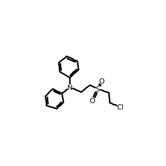 O=S(=O)(CCCl)CCN(c1c[c]ccc1)c1ccccc1